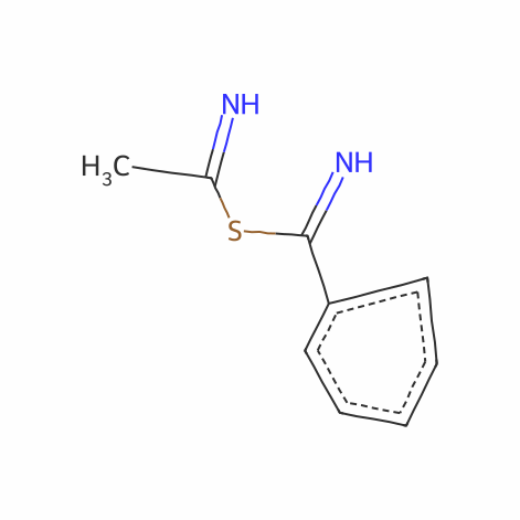 CC(=N)SC(=N)c1ccccc1